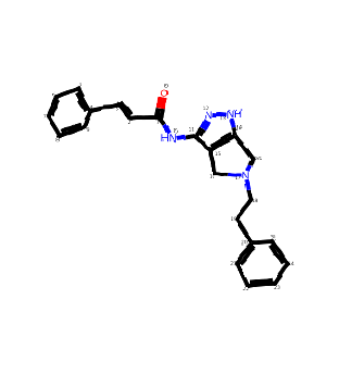 O=C(/C=C/c1ccccc1)Nc1n[nH]c2c1CN(CCc1ccccc1)C2